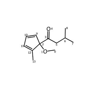 COC1(C(=O)CC(C)C)C=CC=C1C